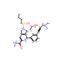 CCCC[S@@+]([O-])N1Cc2cc(C(=O)NC)nc(-c3cccc(C#CCN(C)C)c3)c2[C@H]1CCO